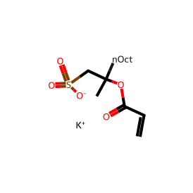 C=CC(=O)OC(C)(CCCCCCCC)CS(=O)(=O)[O-].[K+]